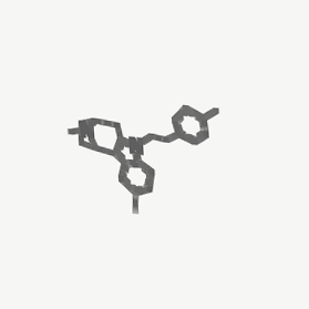 Cc1ccc(CCn2c3c(c4cc(C)ccc42)C2CCC(C3)N2C)cc1